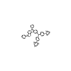 c1ccc(N2CCc3c2ccc2c3c3cc(C(c4ccc(-c5ncncn5)cc4)c4ccc(-c5ncncn5)cc4)ccc3n2-c2ccccc2)cc1